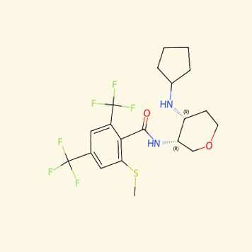 CSc1cc(C(F)(F)F)cc(C(F)(F)F)c1C(=O)N[C@H]1COCC[C@H]1NC1CCCC1